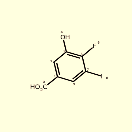 O=C(O)c1cc(O)c(F)c(I)c1